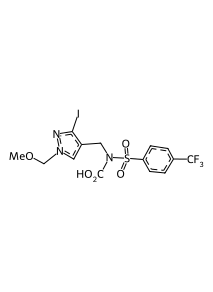 COCn1cc(CN(C(=O)O)S(=O)(=O)c2ccc(C(F)(F)F)cc2)c(I)n1